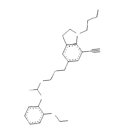 CCOc1ccccc1OC(C)NCCCc1cc(C#N)c2c(c1)CCN2CCCO